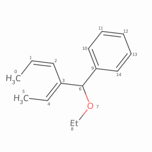 C/C=C\C(=C/C)C(OCC)c1ccccc1